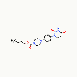 CCCCOC(=O)N1CCN(c2ccc(N3CCC(=O)NC3=O)cc2)CC1